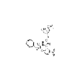 CCC(CC)COC(=O)[C@@H]1NP(=O)(Oc2ccccc2)Oc2ccc([N+](=O)[O-])cc21